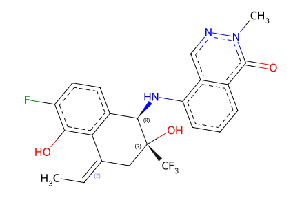 C/C=C1/C[C@](O)(C(F)(F)F)[C@H](Nc2cccc3c(=O)n(C)ncc23)c2ccc(F)c(O)c21